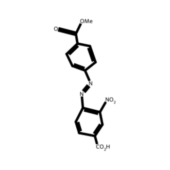 COC(=O)c1ccc(N=Nc2ccc(C(=O)O)cc2[N+](=O)[O-])cc1